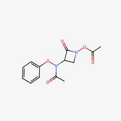 CC(=O)ON1CC(N(Oc2ccccc2)C(C)=O)C1=O